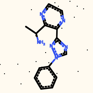 CC(N)c1nccnc1-c1ncn(-c2ccccc2)n1